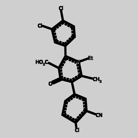 CCn1c(C)c(-c2ccc(Cl)c(C#N)c2)c(=O)c(C(=O)O)c1-c1ccc(Cl)c(Cl)c1